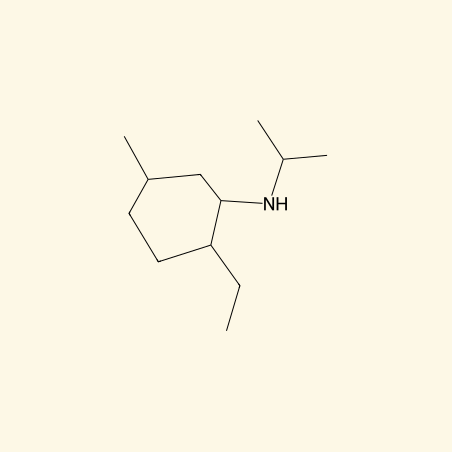 CCC1CCC(C)CC1NC(C)C